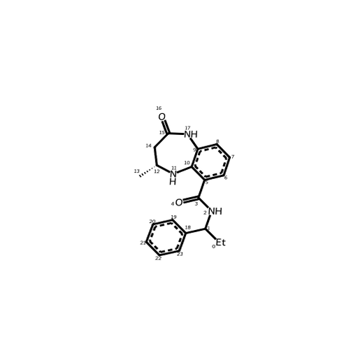 CCC(NC(=O)c1cccc2c1N[C@H](C)CC(=O)N2)c1ccccc1